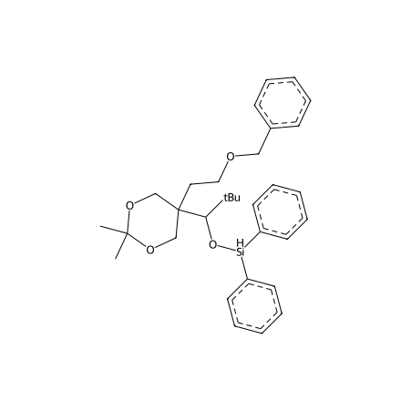 CC1(C)OCC(CCOCc2ccccc2)(C(O[SiH](c2ccccc2)c2ccccc2)C(C)(C)C)CO1